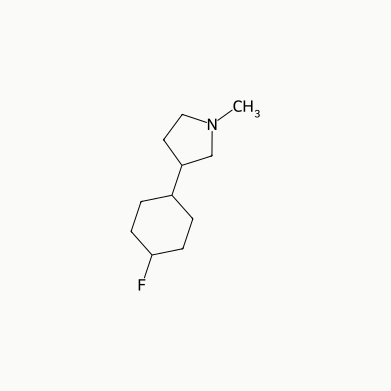 CN1CCC(C2CCC(F)CC2)C1